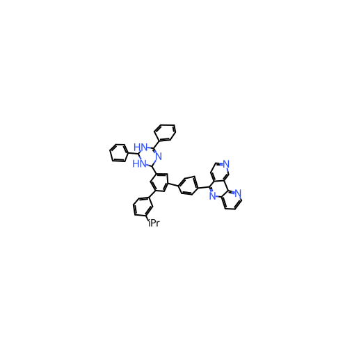 CC(C)c1cccc(-c2cc(-c3ccc(-c4nc5cccnc5c5cnccc45)cc3)cc(C3N=C(c4ccccc4)NC(c4ccccc4)N3)c2)c1